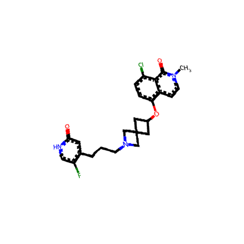 Cn1ccc2c(OC3CC4(C3)CN(CCCc3cc(=O)[nH]cc3F)C4)ccc(Cl)c2c1=O